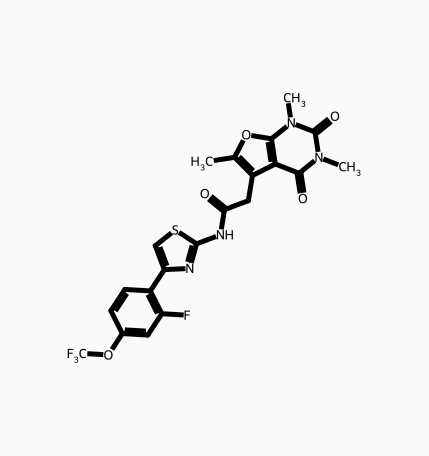 Cc1oc2c(c1CC(=O)Nc1nc(-c3ccc(OC(F)(F)F)cc3F)cs1)c(=O)n(C)c(=O)n2C